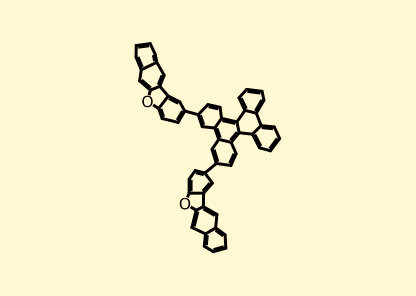 c1ccc2cc3c(cc2c1)oc1ccc(-c2ccc4c(c2)c2cc(-c5ccc6oc7cc8ccccc8cc7c6c5)ccc2c2c5ccccc5c5ccccc5c42)cc13